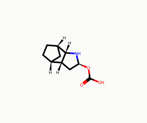 O=C(O)O[C@H]1C[C@@H]2[C@@H]3CC[C@@H](C3)[C@@H]2N1